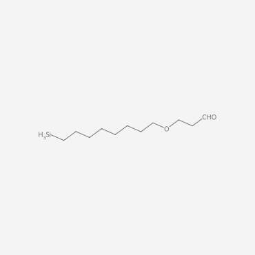 O=CCCOCCCCCCCC[SiH3]